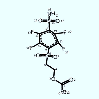 CC(C)(C)C(=O)OCCS(=O)(=O)c1c(F)c(F)c(S(N)(=O)=O)c(F)c1F